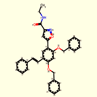 CCNC(=O)c1cc(-c2cc(/C=C/c3ccccc3)c(OCc3ccccc3)cc2OCc2ccccc2)on1